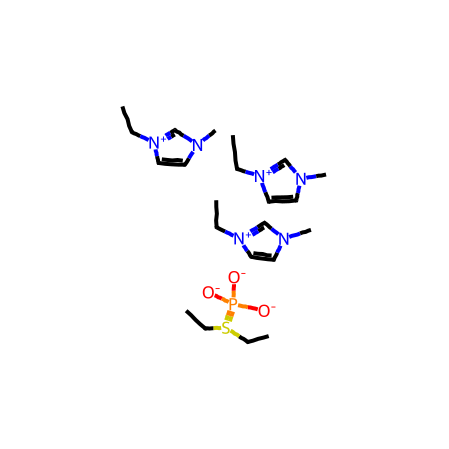 CCS(CC)=P([O-])([O-])[O-].CC[n+]1ccn(C)c1.CC[n+]1ccn(C)c1.CC[n+]1ccn(C)c1